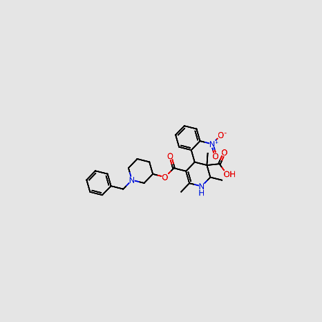 CC1=C(C(=O)OC2CCCN(Cc3ccccc3)C2)C(c2ccccc2[N+](=O)[O-])C(C)(C(=O)O)C(C)N1